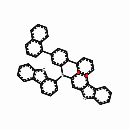 c1ccc(-c2ccc(-c3cccc4ccccc34)cc2N(c2ccc3c(c2)oc2ccccc23)c2cccc3c2oc2ccccc23)cc1